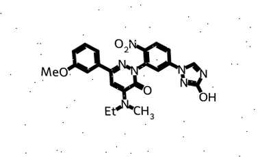 CCN(C)c1cc(-c2cccc(OC)c2)nn(-c2cc(-n3cnc(O)n3)ccc2[N+](=O)[O-])c1=O